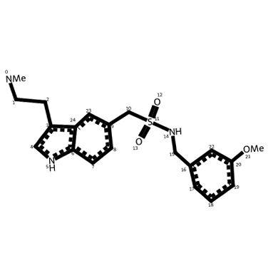 CNCCc1c[nH]c2ccc(CS(=O)(=O)NCc3cccc(OC)c3)cc12